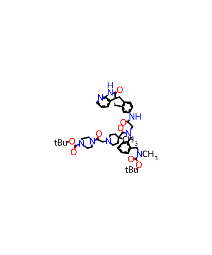 CN(Cc1ccccc1CN(CC(=O)Nc1ccc2c(c1)C[C@@]1(C2)C(=O)Nc2ncccc21)C(=O)C1(C)CCN(CC(=O)N2CCN(C(=O)OC(C)(C)C)CC2)CC1)C(=O)OC(C)(C)C